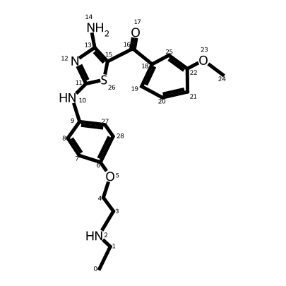 CCNCCOc1ccc(Nc2nc(N)c(C(=O)c3cccc(OC)c3)s2)cc1